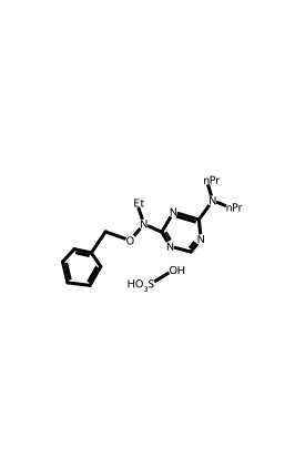 CCCN(CCC)c1ncnc(N(CC)OCc2ccccc2)n1.O=S(=O)(O)O